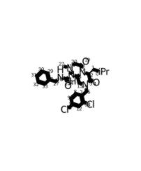 CC(C)C[C@H]1C(=O)N(Cc2ccc(Cl)cc2Cl)C[C@H]2N1C(=O)CN(C)N2C(=O)NCc1ccccc1